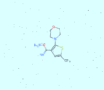 N=C(ON)c1cc(C(F)(F)F)sc1N1CCOCC1